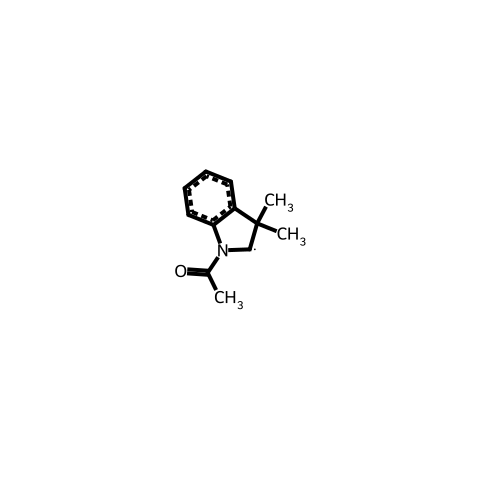 CC(=O)N1[CH]C(C)(C)c2ccccc21